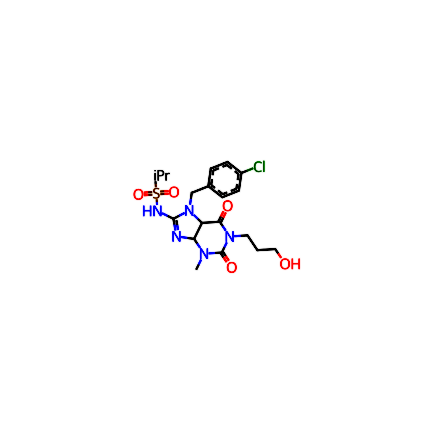 CC(C)S(=O)(=O)NC1=NC2C(C(=O)N(CCCO)C(=O)N2C)N1Cc1ccc(Cl)cc1